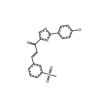 CS(=O)(=O)c1cccc(C=CC(=O)c2[c]nc(-c3ccc(Cl)cc3)s2)c1